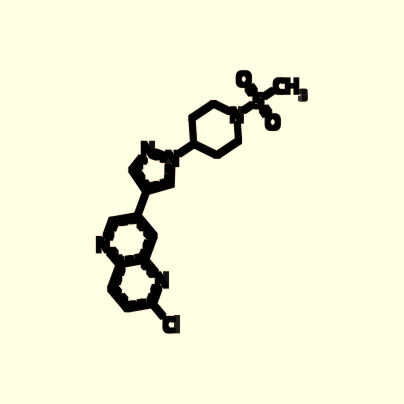 CS(=O)(=O)N1CCC(n2cc(-c3cnc4ccc(Cl)nc4c3)cn2)CC1